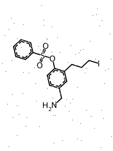 NCc1ccc(OS(=O)(=O)c2ccccc2)c(CCCI)c1